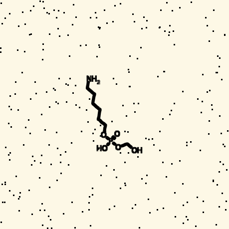 NCCCCCCOP(=O)(O)OCO